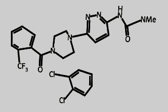 CNC(=O)Nc1ccc(N2CCN(C(=O)c3ccccc3C(F)(F)F)CC2)nn1.Clc1ccccc1Cl